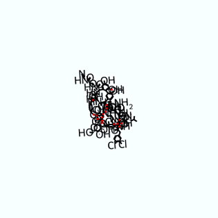 CN[C@H](CC(C)C)C(=O)N[C@H]1C(=O)N[C@@H](CC(N)=O)C(=O)N[C@H]2C(=O)N[C@H]3C(=O)N[C@H](C(=O)N[C@@H](C(=O)NOCC(=O)NC#N)c4cc(O)cc(O)c4-c4cc3ccc4O)[C@H](O)c3ccc(c(Cl)c3)Oc3cc2cc(c3O[C@@H]2O[C@H](CO)[C@@H](O)[C@H](O)[C@H]2O[C@H]2C[C@](C)(NCCN3CCN(NC(=O)Cc4ccc(Cl)c(Cl)c4)CC3)[C@H](O)[C@H](C)O2)Oc2ccc(cc2Cl)[C@H]1O